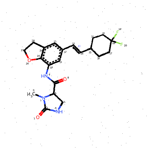 CN1C(=O)NCC1C(=O)Nc1cc(/C=C/C2CCC(F)(F)CC2)cc2c1OCC2